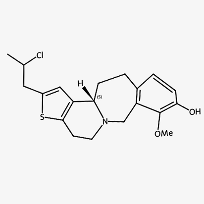 COc1c(O)ccc2c1CN1CCc3sc(CC(C)Cl)cc3[C@@H]1CC2